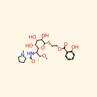 CO[C@H](C)[C@@H](NC(=O)[C@@H]1CCCN1C)[C@H]1O[C@H](SCCOC(=O)c2ccccc2O)[C@H](O)[C@@H](O)[C@H]1O